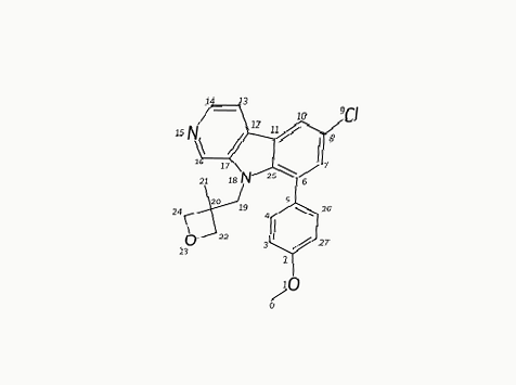 COc1ccc(-c2cc(Cl)cc3c4ccncc4n(CC4(C)COC4)c23)cc1